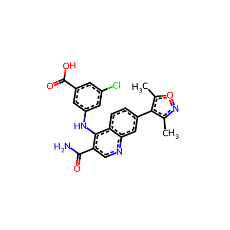 Cc1noc(C)c1-c1ccc2c(Nc3cc(Cl)cc(C(=O)O)c3)c(C(N)=O)cnc2c1